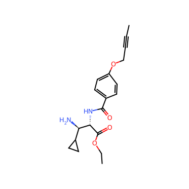 CC#CCOc1ccc(C(=O)N[C@H](C(=O)OCC)[C@H](N)C2CC2)cc1